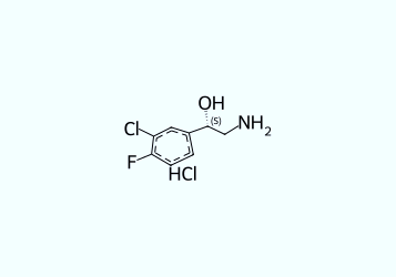 Cl.NC[C@@H](O)c1ccc(F)c(Cl)c1